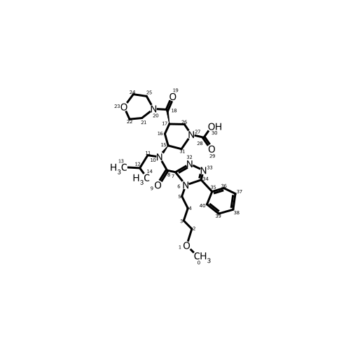 COCCCCn1c(C(=O)N(CC(C)C)[C@H]2C[C@@H](C(=O)N3CCOCC3)CN(C(=O)O)C2)nnc1-c1ccccc1